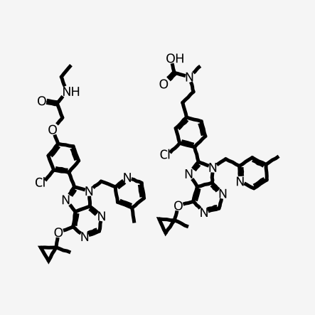 CCNC(=O)COc1ccc(-c2nc3c(OC4(C)CC4)ncnc3n2Cc2cc(C)ccn2)c(Cl)c1.Cc1ccnc(Cn2c(-c3ccc(CCN(C)C(=O)O)cc3Cl)nc3c(OC4(C)CC4)ncnc32)c1